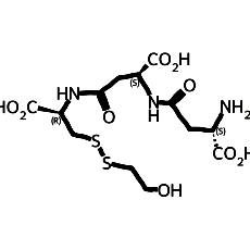 N[C@@H](CC(=O)N[C@@H](CC(=O)N[C@@H](CSSCCO)C(=O)O)C(=O)O)C(=O)O